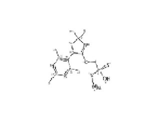 CCCCSP(O)(=S)COC1=NC(C)(C)CC1c1c(C)cc(C)cc1C